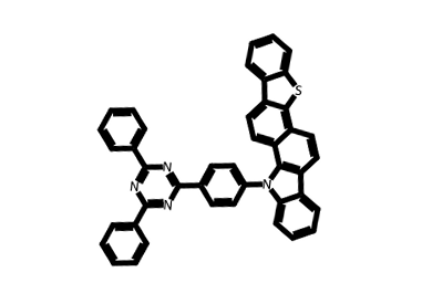 c1ccc(-c2nc(-c3ccccc3)nc(-c3ccc(-n4c5ccccc5c5ccc6c(ccc7c8ccccc8sc76)c54)cc3)n2)cc1